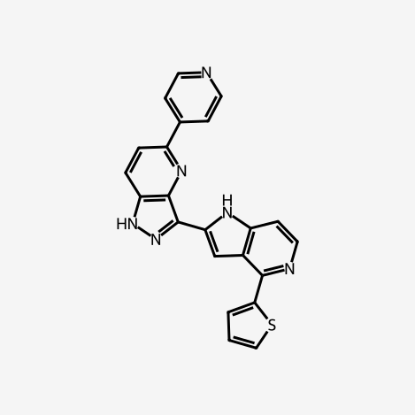 c1csc(-c2nccc3[nH]c(-c4n[nH]c5ccc(-c6ccncc6)nc45)cc23)c1